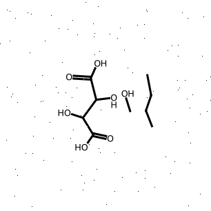 CCCC.CO.O=C(O)C(O)C(O)C(=O)O